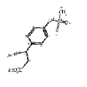 CCOC(=O)CC(NC(C)=O)c1ccc(OS(C)(=O)=O)cc1